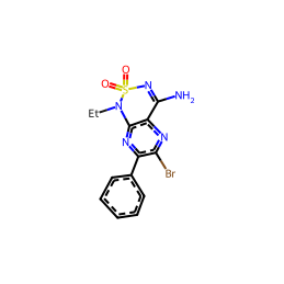 CCN1c2nc(-c3ccccc3)c(Br)nc2C(N)=NS1(=O)=O